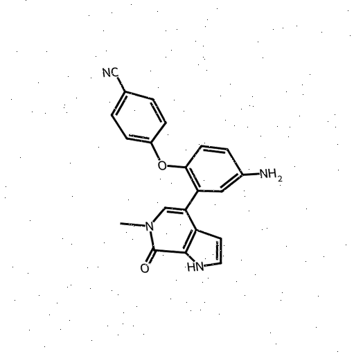 Cn1cc(-c2cc(N)ccc2Oc2ccc(C#N)cc2)c2cc[nH]c2c1=O